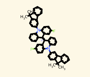 CC1(C)c2ccccc2-c2cc(N3c4ccccc4/C(=C4/c5ccccc5N(c5ccc6c(c5)-c5ccccc5C6(C)C)c5ccc(F)cc54)c4cc(F)ccc43)ccc21